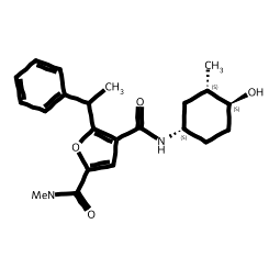 CNC(=O)c1cc(C(=O)N[C@H]2CC[C@H](O)[C@@H](C)C2)c(C(C)c2ccccc2)o1